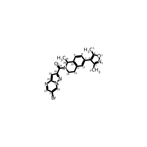 Cc1noc(C)c1-c1ccc2c(c1)CCN(C(=O)c1cc3ncc(Br)cn3n1)C2C